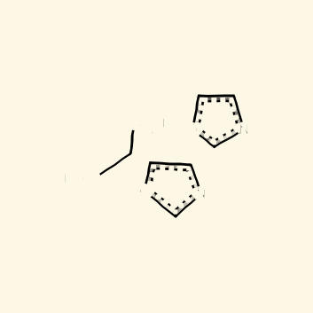 O=C(O)CS(=O)(=O)O.c1cocn1.c1cocn1